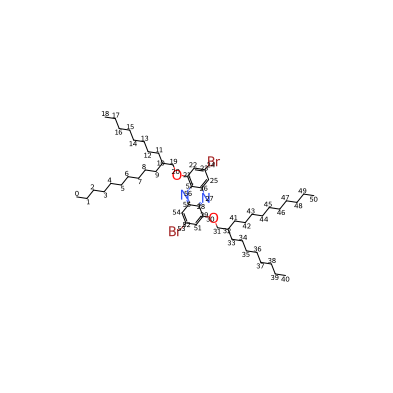 CCCCCCCCCCC(CCCCCCCC)COc1cc(Br)cc2nc3c(OCC(CCCCCCCC)CCCCCCCCCC)cc(Br)cc3nc12